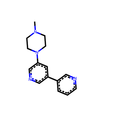 CN1CCN(c2cncc(-c3cccnc3)c2)CC1